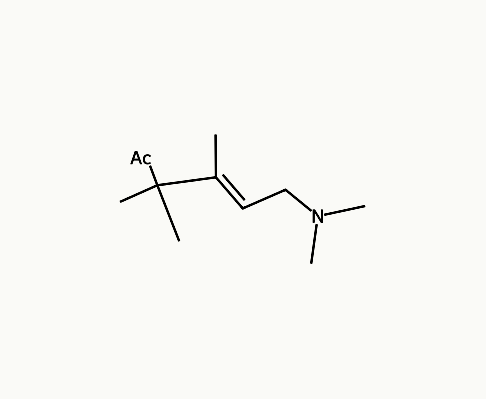 CC(=O)C(C)(C)/C(C)=C/CN(C)C